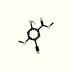 COC(=O)c1cc(C#N)c(OC)cc1N